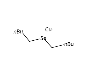 CCCCC[Se]CCCCC.[Cu]